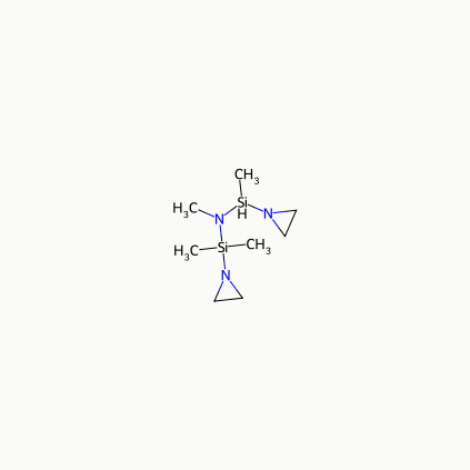 CN([SiH](C)N1CC1)[Si](C)(C)N1CC1